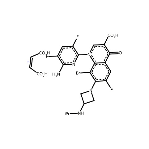 CC(C)NC1CN(c2c(F)cc3c(=O)c(C(=O)O)cn(-c4nc(N)c(F)cc4F)c3c2Br)C1.O=C(O)/C=C\C(=O)O